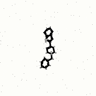 C1=C(c2cc3ccccc3o2)CCN(Cc2ccccc2)C1